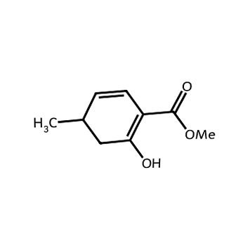 COC(=O)C1=C(O)CC(C)C=C1